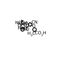 COc1cc(C#N)c(O[C@H]2CC[C@@](C)(C(=O)O)CC2)cc1C(=O)N[C@@H]1[C@H]2CC[C@H](C2)[C@@H]1C(=O)NC1(C#N)CC1